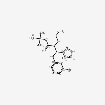 CCCC(C(=O)OC(C)(C)C)[C@H](Cc1cccc(Br)c1)c1nnn[nH]1